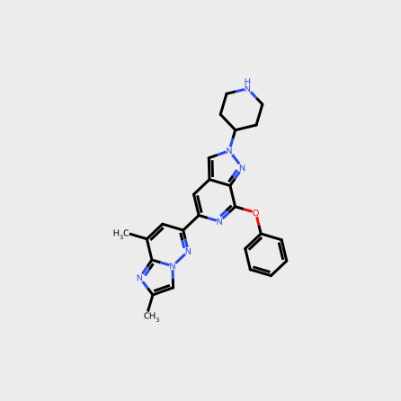 Cc1cn2nc(-c3cc4cn(C5CCNCC5)nc4c(Oc4ccccc4)n3)cc(C)c2n1